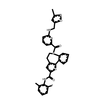 Cc1cc(CNc2cccc(C(=O)N3CCc4cc(C(=O)Nc5c(C)cccc5F)sc4-c4ccccc43)n2)on1